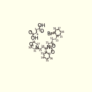 O=C(O)C=CC(=O)O.O=C1OC(CCc2ccccc2Br)CN1C(CCN1CCOCC1)c1ccccc1